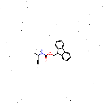 C#CC(C)NC(=O)OCC1c2ccccc2-c2ccccc21